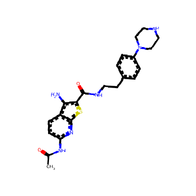 CC(=O)Nc1ccc2c(N)c(C(=O)NCCc3ccc(N4CCNCC4)cc3)sc2n1